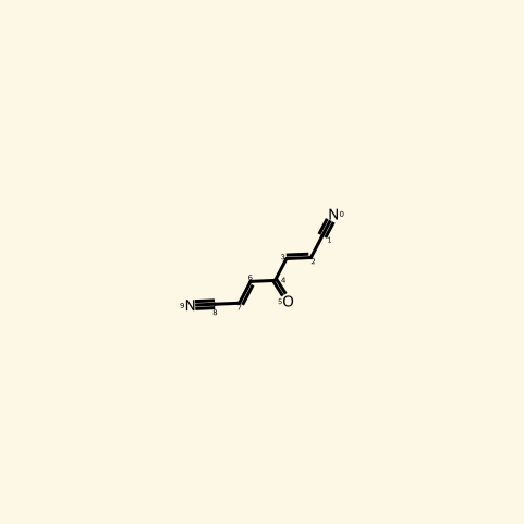 N#CC=CC(=O)C=CC#N